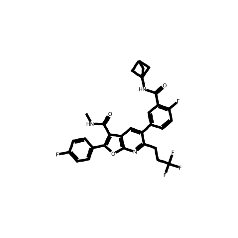 CNC(=O)c1c(-c2ccc(F)cc2)oc2nc(CCC(F)(F)F)c(-c3ccc(F)c(C(=O)NC45CC(C4)C5)c3)cc12